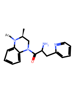 CC(=O)N1c2ccccc2N(C(=O)C(N)Cc2ccccn2)C[C@@H]1C